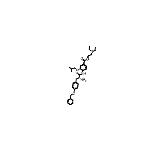 CCN(CC)CCOC(=O)c1ccc(NC(=O)[C@H](N)Cc2ccc(OCc3ccccc3)cc2)c(OCC(C)C)c1